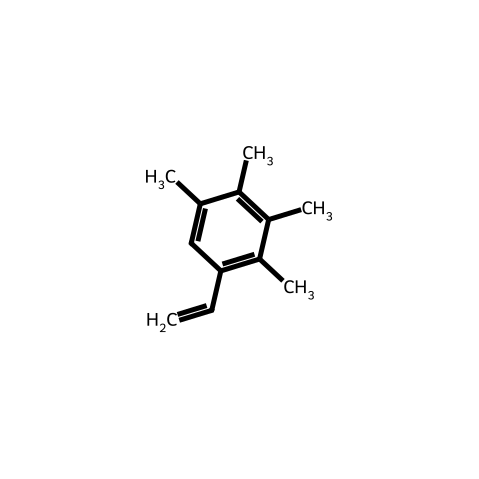 C=Cc1cc(C)c(C)c(C)c1C